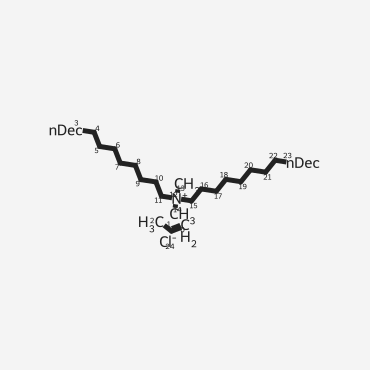 C=CC.CCCCCCCCCCCCCCCCCC[N+](C)(C)CCCCCCCCCCCCCCCCCC.[Cl-]